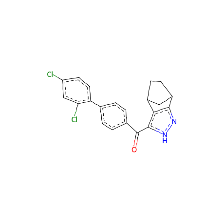 O=C(c1ccc(-c2ccc(Cl)cc2Cl)cc1)c1[nH]nc2c1C1CCC2C1